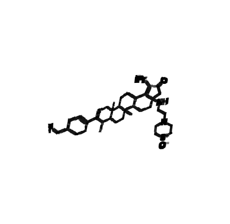 CC(C)C1=C2C3CCC4C5(C)CC=C(C6=CCC(CF)CC6)C(C)C5CCC4(C)C3CCC2(NCCN2CC[S+]([O-])CC2)CC1=O